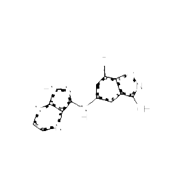 Cc1noc2c(F)cc(Nc3n[nH]c4nccnc34)cc12